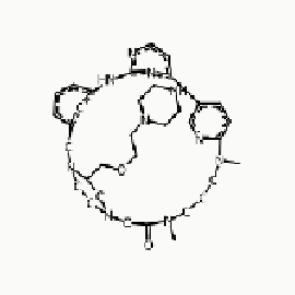 CN1CCCN(C)c2ccc(cn2)-c2ccnc(n2)Nc2cccc(c2)CN2CCN(CC1=O)CC2COCCN1CCNCC1